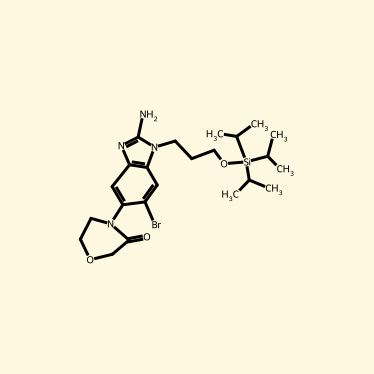 CC(C)[Si](OCCCn1c(N)nc2cc(N3CCOCC3=O)c(Br)cc21)(C(C)C)C(C)C